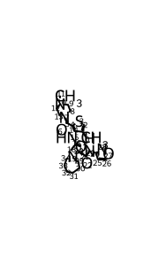 Cc1csc(C(=O)N2CCN(C)CC2)c1NC(=O)C[N+]1(CC(=O)Nc2ccon2)CCCCCC1